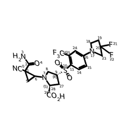 N#CC1(C(N)=O)CC1N1C[C@H](S(=O)(=O)c2ccc(N3CCC(F)(F)C3)cc2C(F)(F)F)C[C@H]1C(=O)O